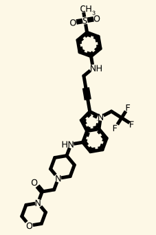 CS(=O)(=O)c1ccc(NCC#Cc2cc3c(NC4CCN(CC(=O)N5CCOCC5)CC4)cccc3n2CC(F)(F)F)cc1